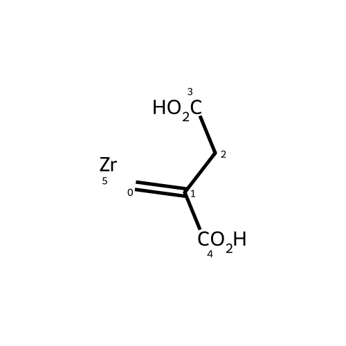 C=C(CC(=O)O)C(=O)O.[Zr]